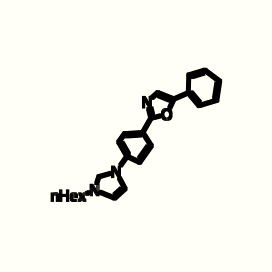 CCCCCCN1C=CN(c2ccc(-c3ncc(-c4ccccc4)o3)cc2)C1